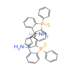 N/C(=C\C=C(/N)c1ccccc1P(=S)(c1ccccc1)c1ccccc1)c1ccccc1P(=S)(c1ccccc1)c1ccccc1